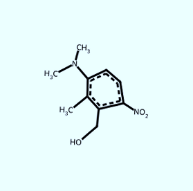 Cc1c(N(C)C)ccc([N+](=O)[O-])c1CO